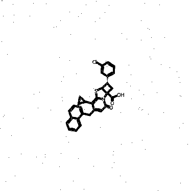 O=C(O)C12C[C@@H](c3cccc(Cl)c3)C1Sc1c(C3CC3)c(Cc3cccc4ccccc34)cc(=O)n12